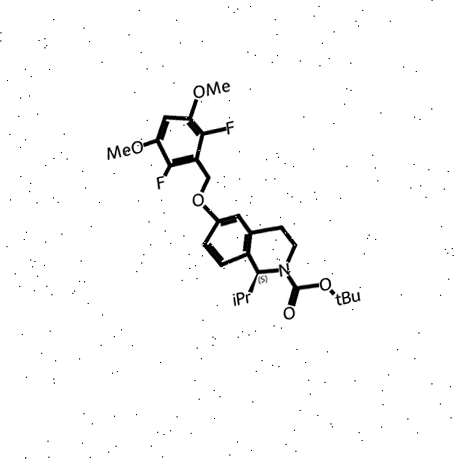 COc1cc(OC)c(F)c(COc2ccc3c(c2)CCN(C(=O)OC(C)(C)C)[C@H]3C(C)C)c1F